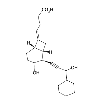 O=C(O)CC/C=C1\C[C@@H]2[C@@H](C#CC(O)C3CCCCC3)[C@H](O)CC[C@H]12